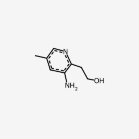 Cc1cnc(CCO)c(N)c1